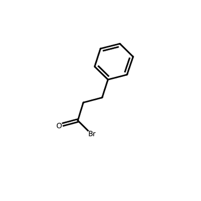 O=C(Br)CCc1ccccc1